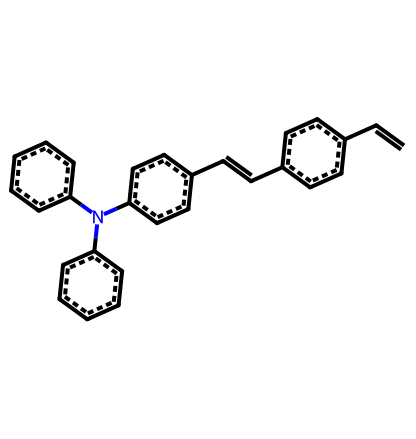 C=Cc1ccc(C=Cc2ccc(N(c3ccccc3)c3ccccc3)cc2)cc1